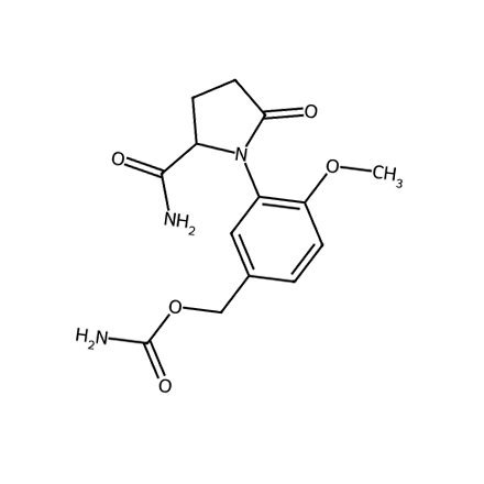 COc1ccc(COC(N)=O)cc1N1C(=O)CCC1C(N)=O